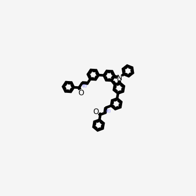 O=C(/C=C/c1cccc(-c2ccc3c(c2)c2cc(-c4cccc(/C=C/C(=O)c5ccccc5)c4)ccc2n3-c2ccccc2)c1)c1ccccc1